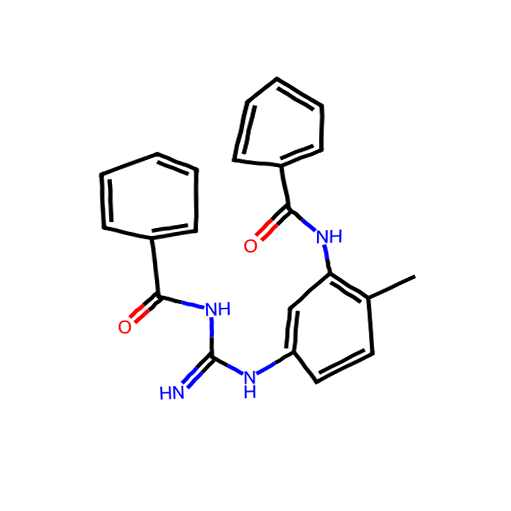 Cc1ccc(NC(=N)NC(=O)c2ccccc2)cc1NC(=O)c1ccccc1